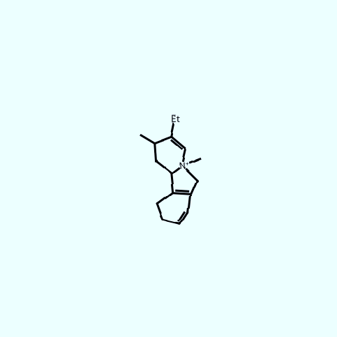 CCC1=C[N+]2(C)CC3=C(CCC=C3)C2CC1C